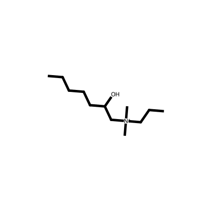 CCCCCC(O)C[N+](C)(C)CCC